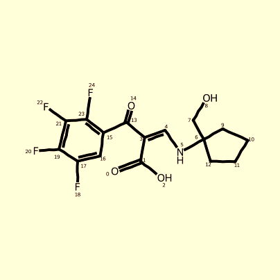 O=C(O)C(=CNC1(CO)CCCC1)C(=O)c1cc(F)c(F)c(F)c1F